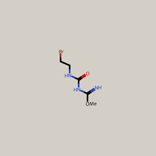 COC(=N)NC(=O)NCCBr